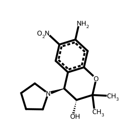 CC1(C)Oc2cc(N)c([N+](=O)[O-])cc2[C@H](N2CCCC2)[C@H]1O